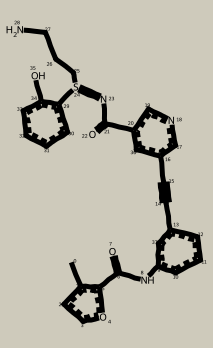 Cc1ccoc1C(=O)Nc1cccc(C#Cc2cncc(C(=O)N=S(CCCN)c3ccccc3O)c2)c1